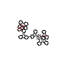 c1ccc(-n2c3ccccc3c3ccccc32)c(-c2nc(-n3c4ccccc4c4ccccc43)nc(-n3c4ccccc4c4cc(-c5ccc6c7ccccc7n(-c7ccc8c(c7)c7ccccc7n8-c7ccccc7-c7ccccc7-n7c8ccccc8c8ccccc87)c6c5)ccc43)n2)c1